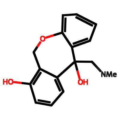 CNCC1(O)c2ccccc2OCc2c(O)cccc21